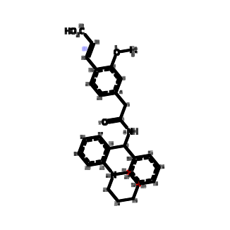 CCOc1cc(CC(=O)NC(c2ccccc2)c2ccccc2N2CCCCC2)ccc1/C=C/C(=O)O